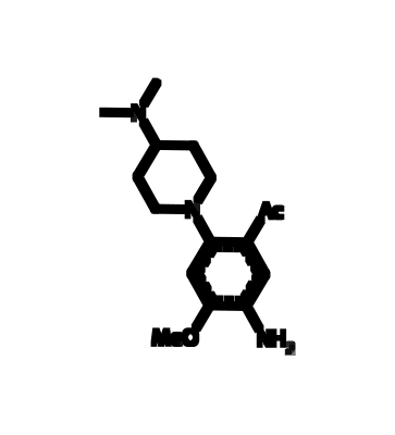 COc1cc(N2CCC(N(C)C)CC2)c(C(C)=O)cc1N